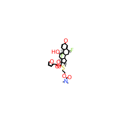 C[C@@H]1CC2C3C[C@H](F)C4=CC(=O)C=C[C@]4(C)[C@@]3(F)[C@@H](O)C[C@]2(C)[C@@]1(OC(=O)c1ccco1)C(=O)SCCOC(=O)N(C)C